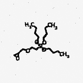 CCCCO[Si](CCOCC1CO1)(OCCCC)OCCCC